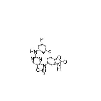 Cc1cnc(Nc2cc(F)cc(F)c2)nc1Nc1ccc2oc(=O)[nH]c2c1